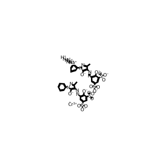 Cc1nn(-c2ccccc2)c([O-])c1N=Nc1cc(S(=O)(=O)[O-])cc(S(=O)(=O)[O-])c1[O-].Cc1nn(-c2ccccc2)c([O-])c1N=Nc1cc(S(=O)(=O)[O-])cc(S(=O)(=O)[O-])c1[O-].[Cr+3].[H+].[Na+].[Na+].[Na+].[Na+]